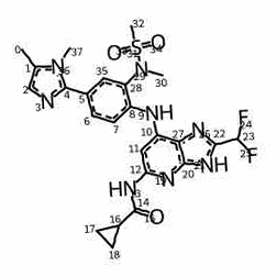 Cc1cnc(-c2ccc(Nc3cc(NC(=O)C4CC4)nc4[nH]c(C(F)F)nc34)c(N(C)S(C)(=O)=O)c2)n1C